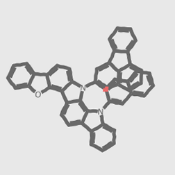 c1ccc2c(c1)-c1cccc3cc(-n4c5ccc6c7ccccc7oc6c5c5ccc6c7ccccc7n(-c7ccc8ccccc8c7)c6c54)cc-2c13